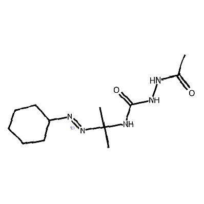 CC(=O)NNC(=O)NC(C)(C)/N=N/C1CCCCC1